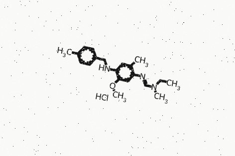 CCN(C)C=Nc1cc(OC)c(NCc2ccc(C)cc2)cc1C.Cl